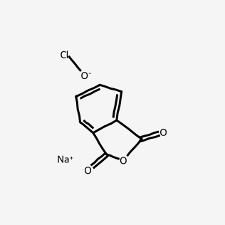 O=C1OC(=O)c2ccccc21.[Na+].[O-]Cl